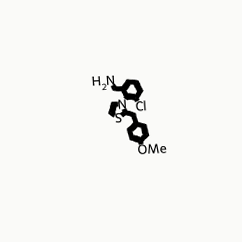 COc1ccc(CC2SC=CN2c2c(Cl)cccc2CN)cc1